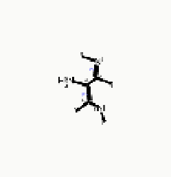 C/N=C(C)\C(N)=C(\C)NC